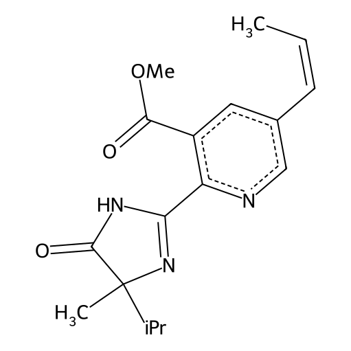 C/C=C\c1cnc(C2=NC(C)(C(C)C)C(=O)N2)c(C(=O)OC)c1